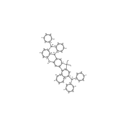 CC1(C)c2cc3c(cc2-c2c1cc(N(c1ccccc1)c1ccccc1)c1ccccc21)Oc1cccc2c1B3c1ccccc1N2c1ccccc1